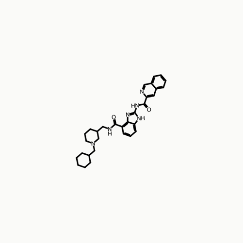 O=C(Nc1nc2c(C(=O)NCC3CCCN(CC4CCCCC4)C3)cccc2[nH]1)c1cc2ccccc2cn1